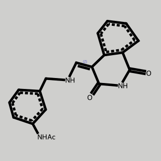 CC(=O)Nc1cccc(CN/C=C2\C(=O)NC(=O)c3ccccc32)c1